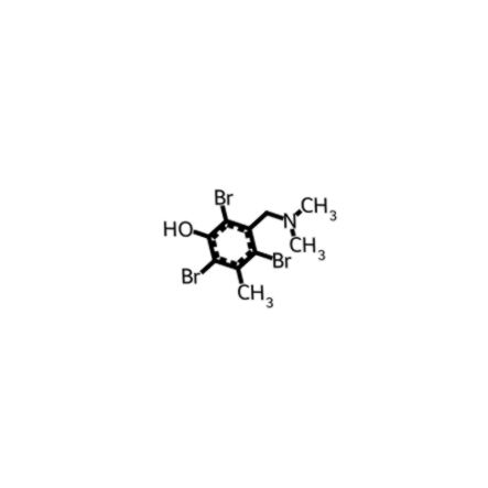 Cc1c(Br)c(O)c(Br)c(CN(C)C)c1Br